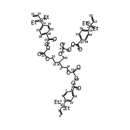 C=C[Si](CC)(CC)c1ccc(C(=O)OOC(=O)OCCC(CCOC(=O)OOC(=O)c2ccc([Si](C=C)(CC)CC)cc2)COC(=O)OOC(=O)c2ccc([Si](C=C)(CC)CC)cc2)cc1